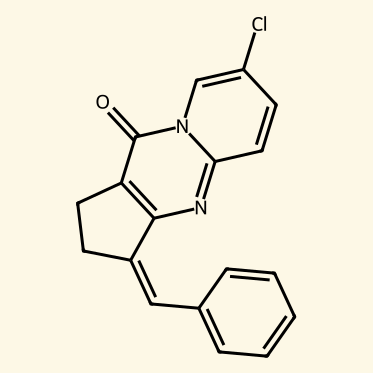 O=c1c2c(nc3ccc(Cl)cn13)/C(=C\c1ccccc1)CC2